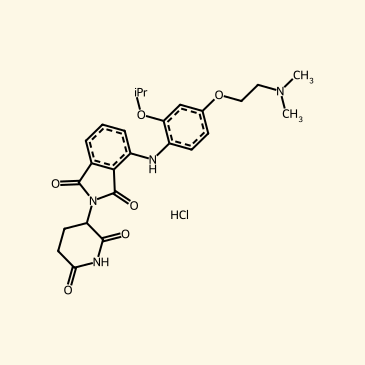 CC(C)Oc1cc(OCCN(C)C)ccc1Nc1cccc2c1C(=O)N(C1CCC(=O)NC1=O)C2=O.Cl